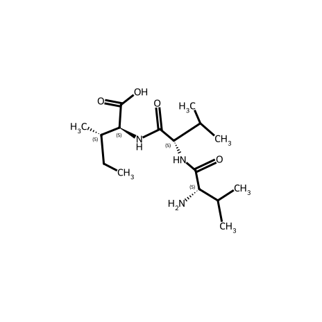 CC[C@H](C)[C@H](NC(=O)[C@@H](NC(=O)[C@@H](N)C(C)C)C(C)C)C(=O)O